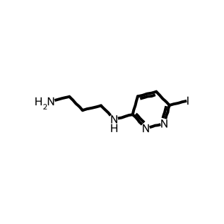 NCCCNc1ccc(I)nn1